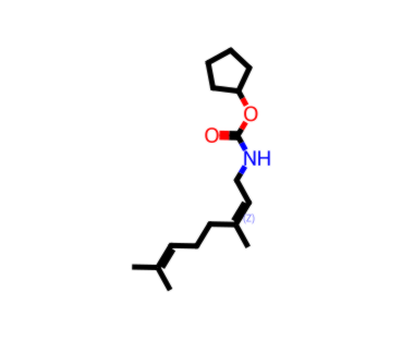 CC(C)=CCC/C(C)=C\CNC(=O)OC1CCCC1